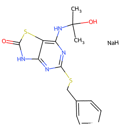 CC(C)(O)Nc1nc(SCc2ccccc2)nc2[nH]c(=O)sc12.[NaH]